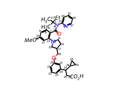 CCC(C)(C)N(C(=O)c1ccc(OC)cc1N1CCC(COc2cccc(C(CC(=O)O)C3CC3)c2)C1)c1ccccn1